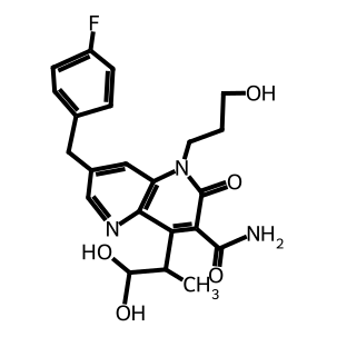 CC(c1c(C(N)=O)c(=O)n(CCCO)c2cc(Cc3ccc(F)cc3)cnc12)C(O)O